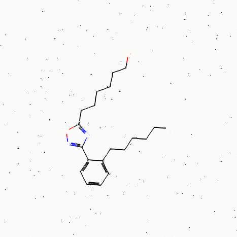 CCCCCCc1ccccc1-c1noc(CCCCCCO)n1